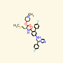 CSCC[C@H](NC(=O)c1ccc(NCC(c2ccc(F)cc2)n2ccnc2)cc1-c1ccc(F)cc1)C(=O)OC1CCN(C)CC1